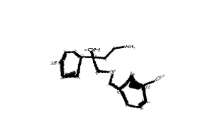 NCCC(O)(COCc1cccc(Cl)c1)c1ccccc1